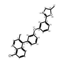 Cc1cnc2c(Cl)cccc2c1-c1cccc(Oc2cccc(C3=NCC(C)O3)c2)c1